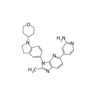 Cc1nc2ccc(-c3ccnc(N)c3)nc2n1-c1ccc2c(c1)CCN2C1CCOCC1